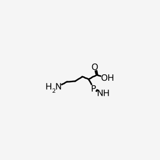 N=PC(CCCN)C(=O)O